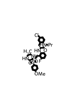 COc1ccc(S(=O)(=O)[C@@]2(CCc3c(F)cccc3N[C@@H](Cc3cccc(Cl)c3)C(=O)NC(C)C)CNC[C@H](C)N2)cc1